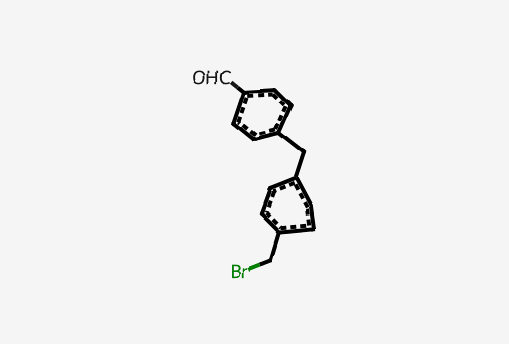 O=Cc1ccc(Cc2ccc(CBr)cc2)cc1